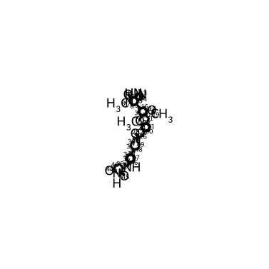 COc1cc(-c2cn(C)c(=O)c3[nH]ncc23)cc(OC)c1Cc1ccc(CC(=O)N2CCC(c3ccc(NC4CCC(=O)NC4=O)cc3)CC2)cc1